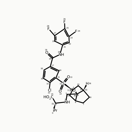 CC(C)[C@H](NC[C@@]1(O)C2CC[C@H]1C[C@H](S(=O)(=O)c1cc(C(=O)Nc3cc(F)c(F)c(F)c3)ccc1Cl)C2)C(=O)O